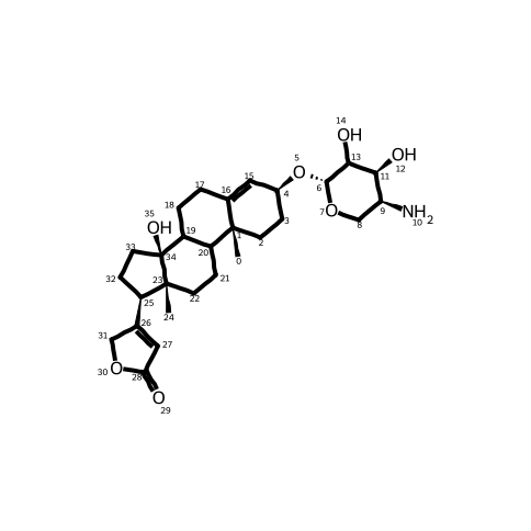 C[C@]12CC[C@H](O[C@H]3OC[C@H](N)[C@H](O)C3O)C=C1CCC1C2CC[C@]2(C)[C@@H](C3=CC(=O)OC3)CC[C@]12O